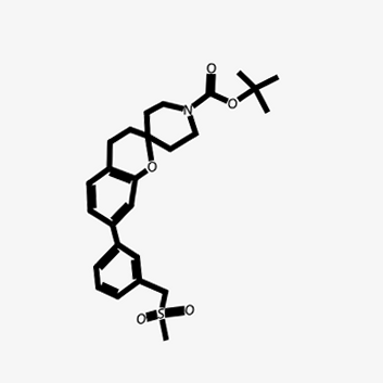 CC(C)(C)OC(=O)N1CCC2(CCc3ccc(-c4cccc(CS(C)(=O)=O)c4)cc3O2)CC1